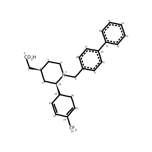 O=C(O)C[C@H]1CCN(Cc2ccc(-c3ccccc3)cc2)[C@@H](C2C=CC(C(F)(F)F)=CC2)C1